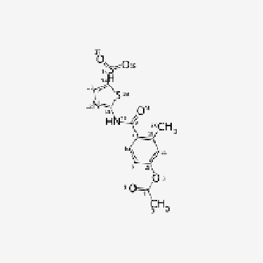 CC(=O)Oc1ccc(C(=O)Nc2ncc([SH](=O)=O)s2)c(C)c1